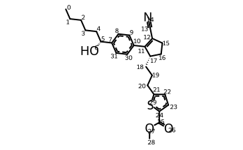 CCCCC[C@@H](O)c1ccc(C2=C(C#N)CC[C@@H]2CCCc2ccc(C(=O)OC)s2)cc1